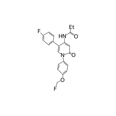 CCC(=O)Nc1cc(=O)n(-c2ccc(OCF)cc2)cc1-c1ccc(F)cc1